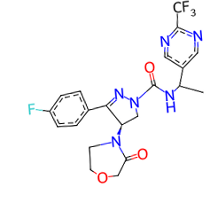 CC(NC(=O)N1C[C@@H](N2CCOCC2=O)C(c2ccc(F)cc2)=N1)c1cnc(C(F)(F)F)nc1